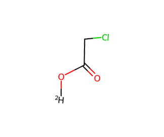 [2H]OC(=O)CCl